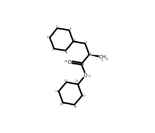 C[C@H](CC1CCCCC1)C(=O)OC1CCCCC1